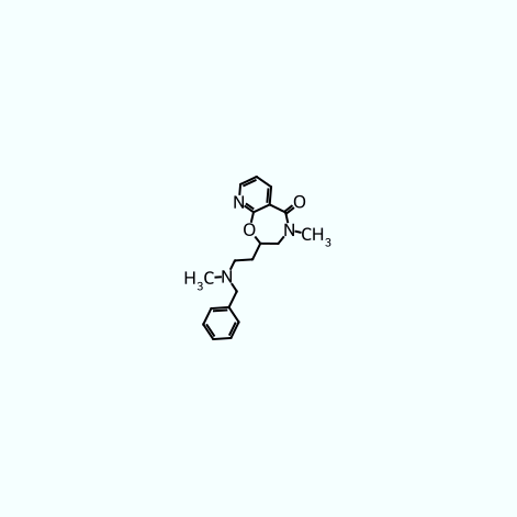 CN(CCC1CN(C)C(=O)c2cccnc2O1)Cc1ccccc1